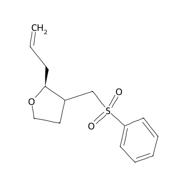 C=CC[C@@H]1OCCC1CS(=O)(=O)c1ccccc1